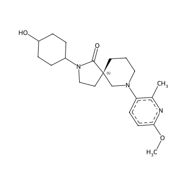 COc1ccc(N2CCC[C@]3(CCN(C4CCC(O)CC4)C3=O)C2)c(C)n1